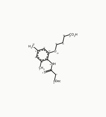 CCCCCCCCCCCC(=S)Nc1c(C)cc(C)cc1OCCCC(=O)O